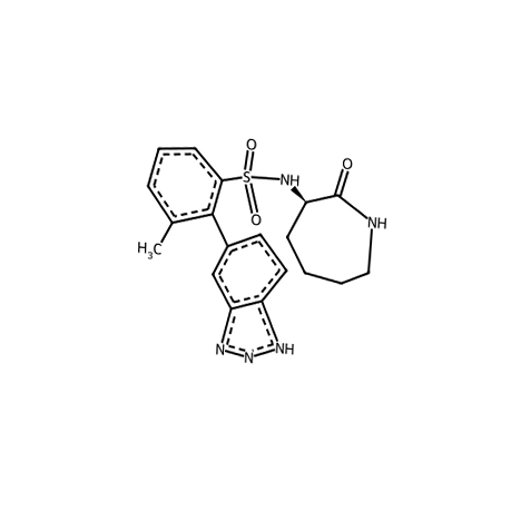 Cc1cccc(S(=O)(=O)N[C@@H]2CCCCNC2=O)c1-c1ccc2[nH]nnc2c1